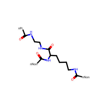 CCCCCCCCCC(=O)NCCCCC(NC(=O)CCCCCCCCC)C(=O)NCCNC(=O)CCC